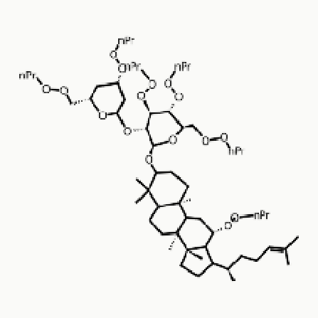 CCCOOC[C@@H]1C[C@H](OOCCC)CC(O[C@H]2[C@H](OC3CC[C@]4(C)C(CC[C@@]5(C)C4C[C@H](OOCCC)C4C([C@H](C)CCC=C(C)C)CC[C@@]45C)C3(C)C)O[C@H](COOCCC)[C@@H](OOCCC)[C@@H]2OOCCC)O1